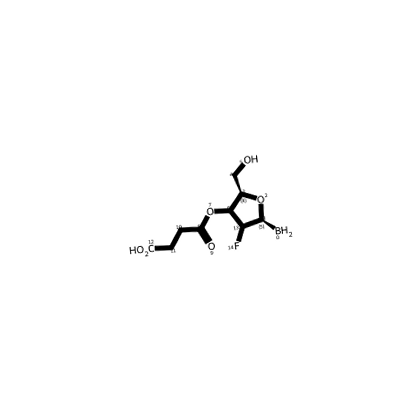 B[C@@H]1O[C@H](CO)C(OC(=O)CCC(=O)O)C1F